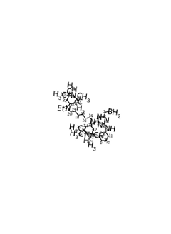 BCc1nc(NC2CCCCC2)nc(N(CCCCCCN(CC)C2CC(C)(C)NC(C)(C)C2)C2CC(C)(C)NC(C)(C)C2)n1